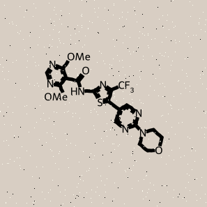 COc1ncnc(OC)c1C(=O)Nc1nc(C(F)(F)F)c(-c2cnc(N3CCOCC3)nc2)s1